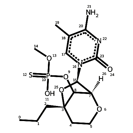 CCC[C@]12CCO[C@@H](C1OP(O)(=S)OC)[C@H](n1cc(C)c(N)nc1=O)O2